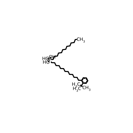 CCCCCCCCCCCCCP(O)(O)(O)CCCCCCCCCCCCCc1ccccc1C(C)(C)C